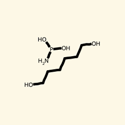 NP(O)O.OCCCCCCO